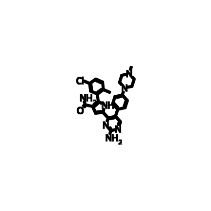 Cc1ccc(Cl)cc1-c1[nH]c(-c2nc(N)ncc2-c2ccc(N3CCN(C)CC3)cc2)cc1C(N)=O